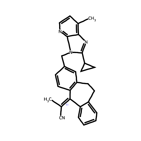 C/C(C#N)=C1/c2ccccc2CCc2cc(Cn3c(C4CC4)nc4c(C)ccnc43)ccc21